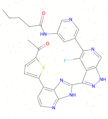 CCCCC(=O)Nc1cncc(-c2ncc3[nH]nc(-c4nc5c(-c6ccc(C(C)=O)s6)ccnc5[nH]4)c3c2F)c1